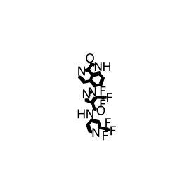 O=C(Nc1ccnc(C(F)(F)F)c1)c1cnn(-c2ccc3c4c(nccc24)C(=O)N3)c1C(F)(F)F